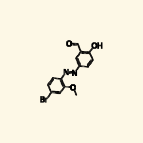 COc1cc(Br)ccc1N=Nc1ccc(O)c(C=O)c1